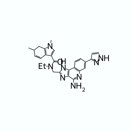 CCN(Cc1nc2c(N)nc3cc(-c4cc[nH]n4)ccc3c2[nH]1)C(=O)c1cn(C)c2c1C=CC(C)C2